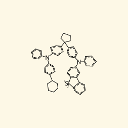 C[Si]1(C)c2ccccc2-c2cc(N(c3ccccc3)c3ccc(C4(c5ccc(N(c6ccccc6)c6ccc(C7CCCCC7)cc6)cc5)CCCC4)cc3)ccc21